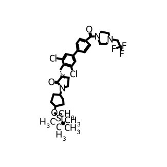 CC(C)(C)[Si](C)(C)OC1CCC(N2CC[C@@H](Cc3c(Cl)cc(-c4ccc(C(=O)N5CCN(CC(F)(F)F)CC5)cc4)cc3Cl)C2=O)CC1